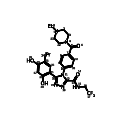 CCN1CCN(C(=O)c2ccc(-n3c(C(=O)NCC(F)(F)F)nnc3-c3cc(C(C)C)c(O)cc3O)cc2)CC1